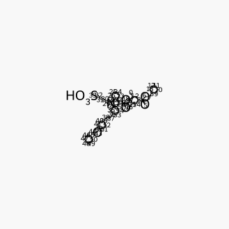 Cc1cc(C(=O)OCc2ccccc2)cc(C)c1OC(=O)c1c2ccccc2[n+](CCCCS(=O)(=O)O)c2cc(C=Cc3ccc(OCc4ccccc4)cc3)ccc12